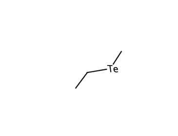 CC[Te]C